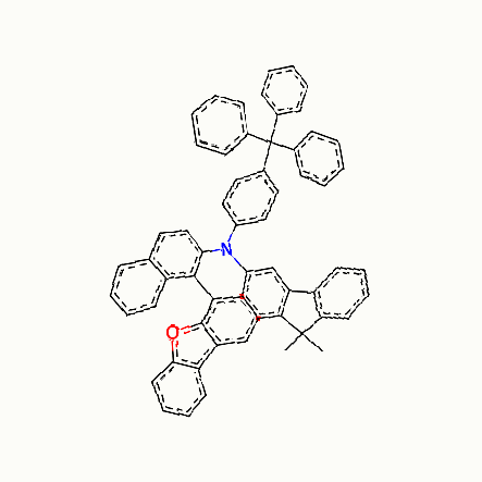 CC1(C)c2ccccc2-c2cc(N(c3ccc(C(c4ccccc4)(c4ccccc4)c4ccccc4)cc3)c3ccc4ccccc4c3-c3cccc4c3oc3ccccc34)ccc21